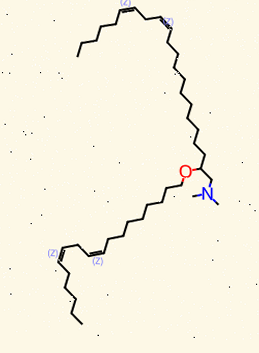 CCCCC/C=C\C/C=C\CCCCCCCCCCC(CN(C)C)OCCCCCCCC/C=C\C/C=C\CCCCC